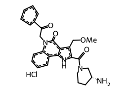 COCc1c(C(=O)N2CCC[C@@H](N)C2)[nH]c2c1c(=O)n(CC(=O)c1ccccc1)c1ccccc21.Cl